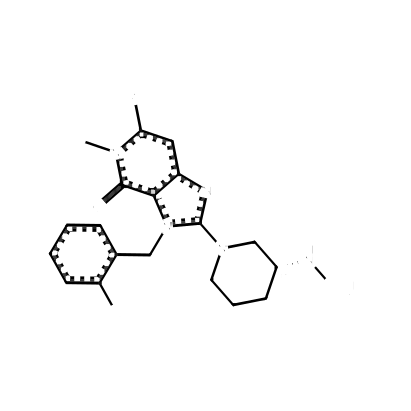 CC(=O)c1cc2nc(N3CCC[C@@H](NC(=O)O)C3)n(Cc3ccccc3Cl)c2c(=O)n1C